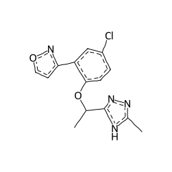 Cc1nnc(C(C)Oc2ccc(Cl)cc2-c2ccon2)[nH]1